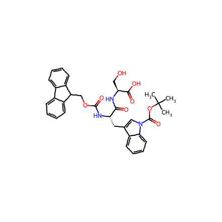 CC(C)(C)OC(=O)n1cc(C[C@H](NC(=O)OCC2c3ccccc3-c3ccccc32)C(=O)N[C@@H](CO)C(=O)O)c2ccccc21